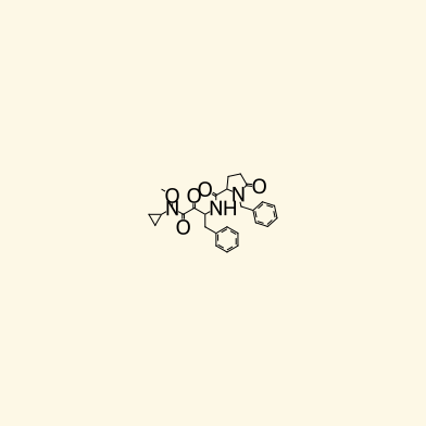 CON(C(=O)C(=O)C(Cc1ccccc1)NC(=O)C1CCC(=O)N1Cc1ccccc1)C1CC1